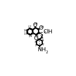 Cl.NC1CCC2(CC1)CSC1=C(O2)c2ccccc2C(=O)C1=O